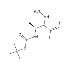 C/C=C(/C)C(NN)[C@H](C)NC(=O)OC(C)(C)C